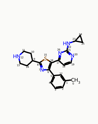 Cc1cccc(-c2nc(C3CCNCC3)sc2-c2ccnc(NC3CC3)n2)c1